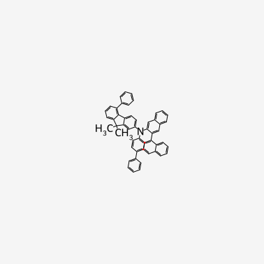 CC1(C)c2cc(N(c3ccc(-c4ccccc4)cc3)c3cc4ccccc4cc3-c3cccc4ccccc34)ccc2-c2c(-c3ccccc3)cccc21